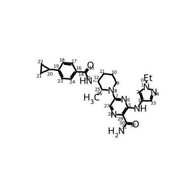 CCn1cc(Nc2nc(N3CCC[C@@H](NC(=O)c4ccc(C5CC5)cc4)[C@H]3C)cnc2C(N)=O)cn1